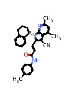 Cc1ccc(NC(=O)C=Cc2c(C#N)c3c(C)cc(C)nc3n2[C@H]2CCCc3ccccc32)cc1